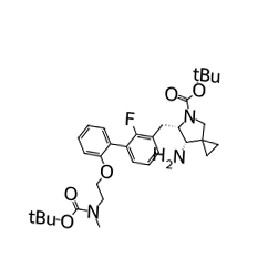 CN(CCOc1ccccc1-c1cccc(C[C@H]2[C@@H](N)C3(CC3)CN2C(=O)OC(C)(C)C)c1F)C(=O)OC(C)(C)C